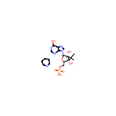 CC1(C)[C@]2(O)[C@H](n3cnc4c(O)ncnc43)O[C@H](COS(=O)(=O)O)[C@]12O.c1ccncc1